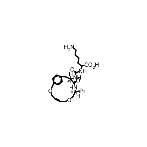 CC(C)[C@H]1COCC=CCOc2ccc(cc2)C[C@@H](NC(=O)NC(CCCCN)C(=O)O)C(=O)N1